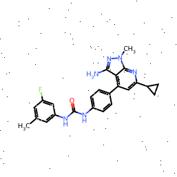 Cc1cc(F)cc(NC(=O)Nc2ccc(-c3cc(C4CC4)nc4c3c(N)nn4C)cc2)c1